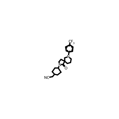 N#CCC1CCC(N2CCC3(CCCN(c4ccc(C(F)(F)F)cc4)C3)C2=O)CC1